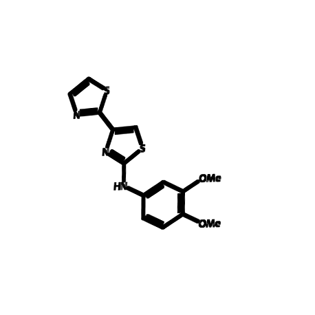 COc1ccc(Nc2nc(-c3nccs3)cs2)cc1OC